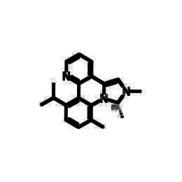 Cc1ccc(C(C)C)c2c1N1C(=CN(C)[C@@H]1C)c1cccnc1-2